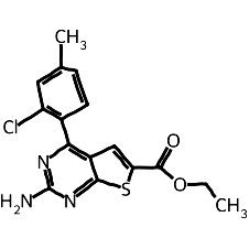 CCOC(=O)c1cc2c(-c3ccc(C)cc3Cl)nc(N)nc2s1